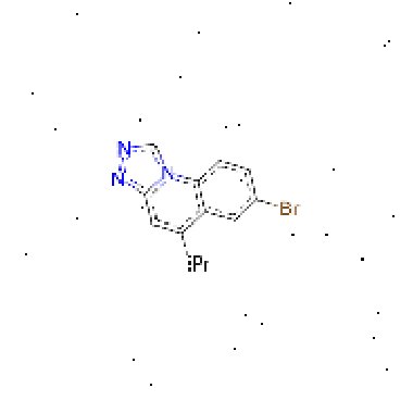 CC(C)c1cc2nncn2c2ccc(Br)cc12